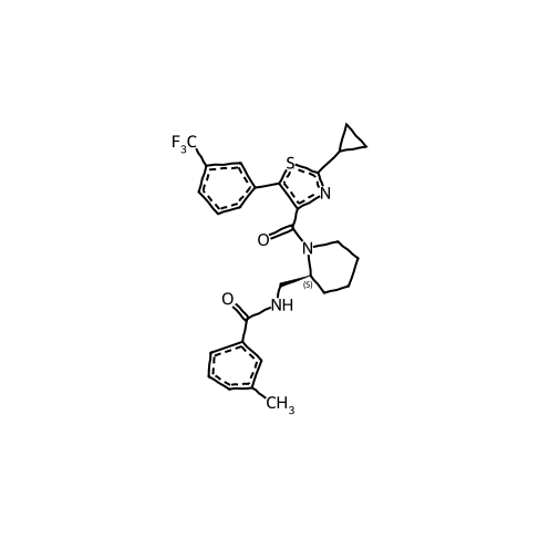 Cc1cccc(C(=O)NC[C@@H]2CCCCN2C(=O)c2nc(C3CC3)sc2-c2cccc(C(F)(F)F)c2)c1